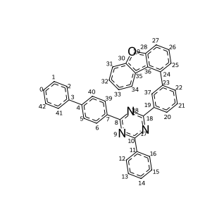 c1ccc(-c2ccc(-c3nc(-c4ccccc4)nc(-c4cccc(-c5cccc6oc7ccccc7c56)c4)n3)cc2)cc1